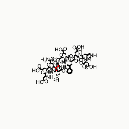 CC(C)C[C@H](NC(=O)[C@H](CS)NC(=O)[C@H](CCC(N)=O)NC(=O)[C@H](CCC(=O)O)NC(=O)[C@@H](N)CC(=O)O)C(=O)N[C@@H](CO)C(=O)N[C@@H](CCC(=O)O)C(=O)N[C@@H](Cc1c[nH]c2ccccc12)C(=O)N[C@@H](CCC(=O)O)C(=O)N[C@@H](Cc1c[nH]cn1)C(=O)N[C@@H](CC(=O)O)C(=O)O